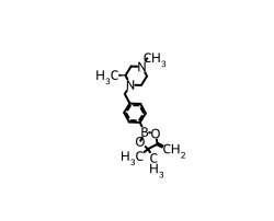 C=C1OB(c2ccc(CN3CCN(C)C[C@@H]3C)cc2)OC1(C)C